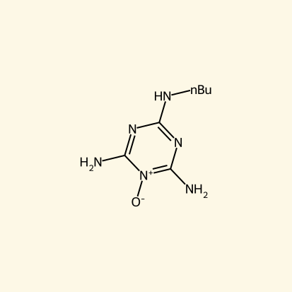 CCCCNc1nc(N)[n+]([O-])c(N)n1